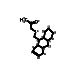 CC(=O)CSCC1C2CC=CCC2CC2CCCCC21